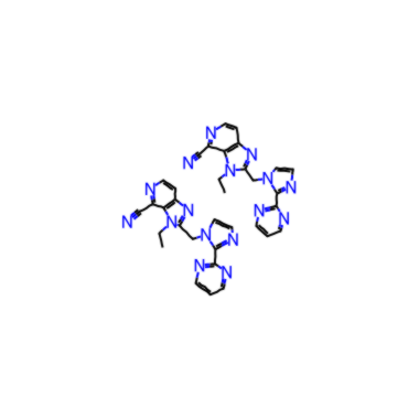 CCn1c(Cn2ccnc2-c2ncccn2)nc2ccnc(C#N)c21.CCn1c(Cn2ccnc2-c2ncccn2)nc2ccnc(C#N)c21